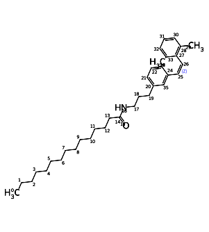 CCCCCCCCCCCCCCC(=O)NCCCc1cccc(/C=C\c2c(C)cccc2C)c1